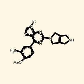 Bc1cc(-c2nc(N3CC4=C(CNC4)C3)nc3c2ncn3CC)ccc1OC